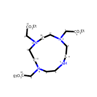 CCOC(=O)CN1CCNCCN(CC(=O)OCC)CCN(CC(=O)OCC)CC1